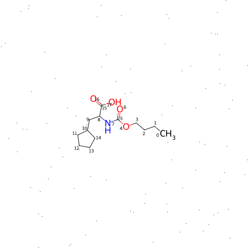 CCCCOC(=O)NC(CC1CCCC1)C(=O)O